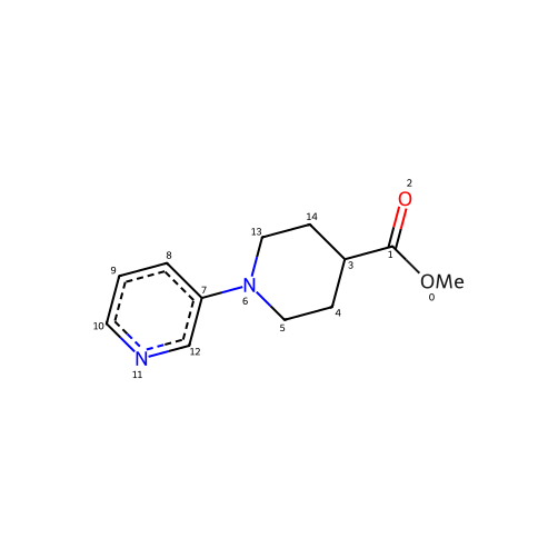 COC(=O)C1CCN(c2cccnc2)CC1